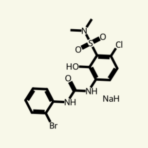 CN(C)S(=O)(=O)c1c(Cl)ccc(NC(=O)Nc2ccccc2Br)c1O.[NaH]